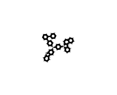 c1ccc(-c2ccccc2-c2ccc(N(c3ccc(-n4c5ccccc5c5c6ccccc6ccc54)cc3)c3ccc4c(c3)sc3ccccc34)cc2)cc1